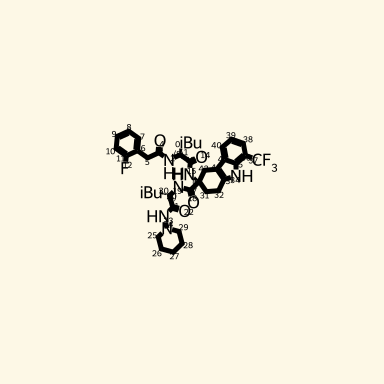 CCC(C)[C@H](NC(=O)Cc1ccccc1F)C(=O)N[C@]1(C(=O)N[C@H](C(=O)NN2CCCCC2)C(C)CC)CCc2[nH]c3c(C(F)(F)F)cccc3c2C1